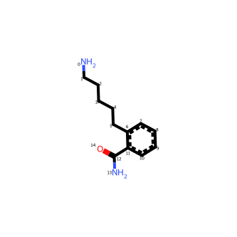 NCC[CH]CCc1ccccc1C(N)=O